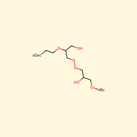 CCCCCCCCCCCCOC(CO)COOCC(O)COCCCC